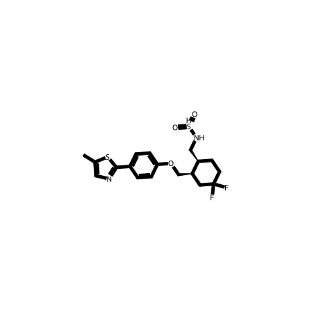 Cc1cnc(-c2ccc(OC[C@@H]3CC(F)(F)CC[C@@H]3CN[SH](=O)=O)cc2)s1